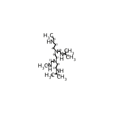 CCNCCN(CCN(CCNC(C)C)CNC)CNC(C)C